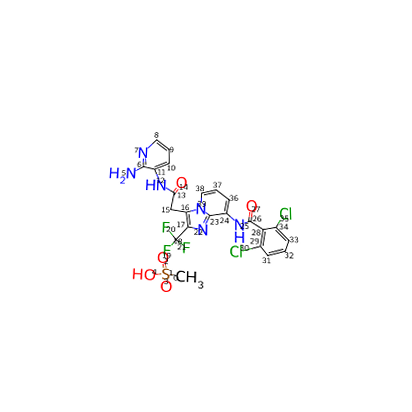 CS(=O)(=O)O.Nc1ncccc1NC(=O)Cc1c(C(F)(F)F)nc2c(NC(=O)c3c(Cl)cccc3Cl)cccn12